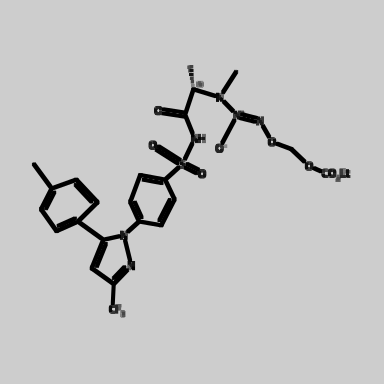 CCOC(=O)OCON=[N+]([O-])N(C)[C@@H](C)C(=O)NS(=O)(=O)c1ccc(-n2nc(C(F)(F)F)cc2-c2ccc(C)cc2)cc1